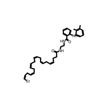 CC/C=C\C/C=C\C/C=C\C/C=C\C/C=C\C/C=C\CCC(=O)NCCNC(=O)c1ccccc1Nc1cccc(C)c1C